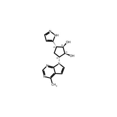 Cc1ncnc2c1ccn2[C@@H]1C[C@H](c2ccn[nH]2)[C@@H](O)[C@H]1O